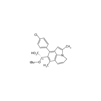 Cc1c([C@H](OC(C)(C)C)C(=O)O)c(-c2ccc(Cl)cc2)c2cc(C)n3c2c1C=CC3